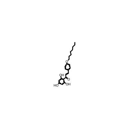 CCCCCCCCOc1ccc(/C=C/C(=O)c2c(O)cc(O)cc2O)cc1